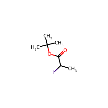 CC(I)C(=O)OC(C)(C)C